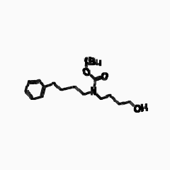 CC(C)(C)OC(=O)N(CCCCO)CCCCc1ccccc1